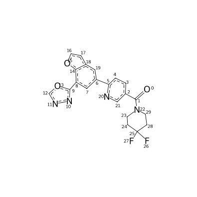 O=C(c1ccc(-c2cc(-c3nnco3)c3occc3c2)nc1)N1CCC(F)(F)CC1